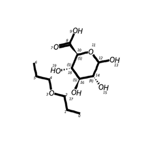 CCCOCCC.O=C(O)[C@H]1OC(O)[C@H](O)[C@@H](O)[C@@H]1O